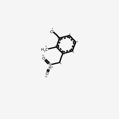 Cc1c(Cl)[c]ccc1C[SH](=O)=O